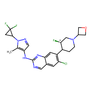 Cc1c(Nc2ncc3cc(Cl)c(C4CCN(C5COC5)C[C@@H]4F)cc3n2)cnn1C1CC1(F)F